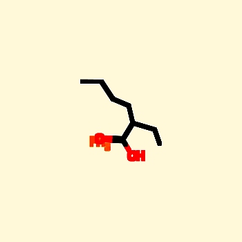 CCCCC(CC)C(=O)O.P